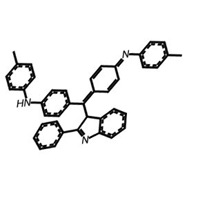 Cc1ccc(N=C2C=CC(=C(c3ccc(Nc4ccc(C)cc4)cc3)C3C(c4ccccc4)=Nc4ccccc43)C=C2)cc1